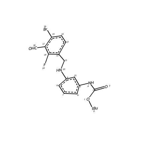 CC(C)(C)OC(=O)Nc1cccc(NCc2ccc(Br)c(C=O)c2F)c1